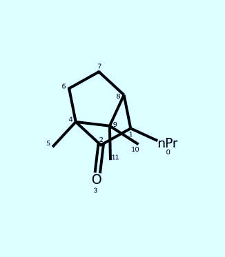 CCCC1C(=O)C2(C)CCC1C2(C)C